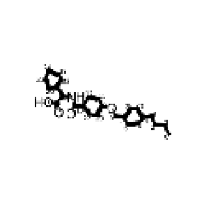 CCCCc1ccc(COc2ccc(C(=O)NC(C(=O)O)c3ccccc3)cc2)cc1